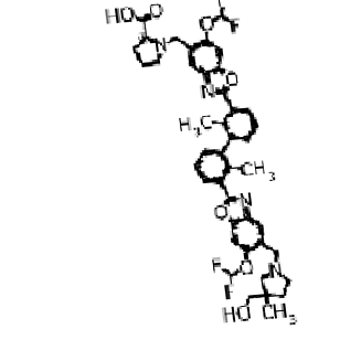 Cc1c(-c2nc3cc(CN4CCC(C)(CO)C4)c(OC(F)F)cc3o2)cccc1-c1cccc(-c2nc3cc(CN4CCC[C@H]4C(=O)O)c(OC(F)F)cc3o2)c1C